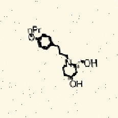 CCCOc1ccc(CCCN2CC[C@@H](O)C[C@H]2CO)cc1